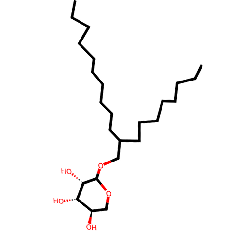 CCCCCCCCCCC(CCCCCCCC)COC1OC[C@@H](O)[C@H](O)[C@@H]1O